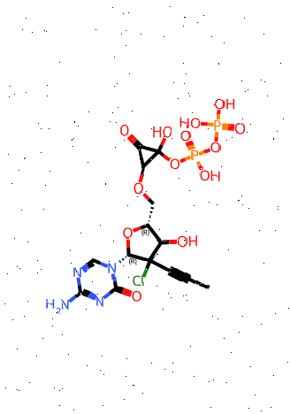 CC#CC1(Cl)C(O)[C@@H](COC2C(=O)C2(O)OP(=O)(O)OP(=O)(O)O)O[C@H]1n1cnc(N)nc1=O